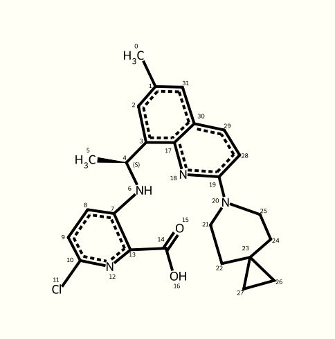 Cc1cc([C@H](C)Nc2ccc(Cl)nc2C(=O)O)c2nc(N3CCC4(CC3)CC4)ccc2c1